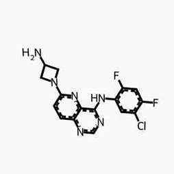 NC1CN(c2ccc3ncnc(Nc4cc(Cl)c(F)cc4F)c3n2)C1